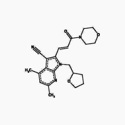 Cc1cc(C)c2c(C#N)c(C=CC(=O)N3CCOCC3)n(CC3CCCO3)c2n1